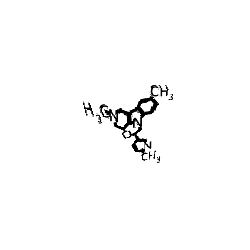 Cc1ccc2c(c1)c1c3n2CC(c2ccc(C)nc2)OC3CN(C)C1